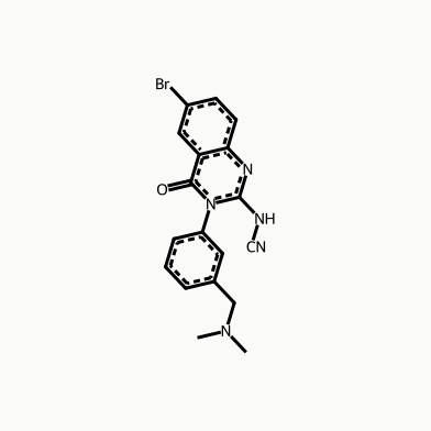 CN(C)Cc1cccc(-n2c(NC#N)nc3ccc(Br)cc3c2=O)c1